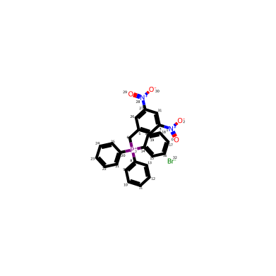 O=[N+]([O-])c1cc(C[P+](c2ccccc2)(c2ccccc2)c2ccccc2)cc([N+](=O)[O-])c1.[Br-]